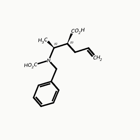 C=CC[C@H](C(=O)O)[C@H](C)N(Cc1ccccc1)C(=O)O